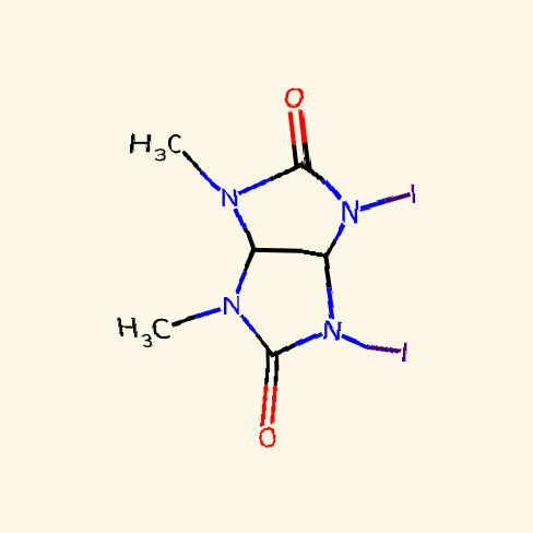 CN1C(=O)N(I)C2C1N(C)C(=O)N2I